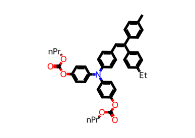 CCCOC(=O)Oc1ccc(N(c2ccc(C=C(c3ccc(C)cc3)c3ccc(CC)cc3)cc2)c2ccc(OC(=O)OCCC)cc2)cc1